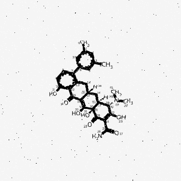 Cc1cc(C)cc(-c2ccc(O)c3c2C[C@@H]2C[C@H]4[C@H](N(C)C)C(O)=C(C(N)=O)C(=O)[C@]4(O)C(O)=C2C3=O)c1